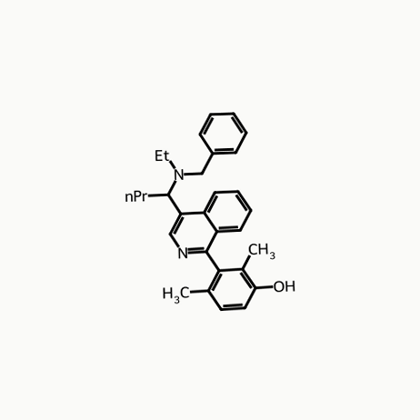 CCCC(c1cnc(-c2c(C)ccc(O)c2C)c2ccccc12)N(CC)Cc1ccccc1